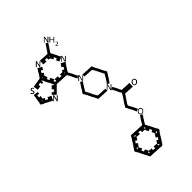 Nc1nc(N2CCN(C(=O)COc3ccccc3)CC2)c2ncsc2n1